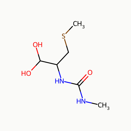 CNC(=O)NC(CSC)C(O)O